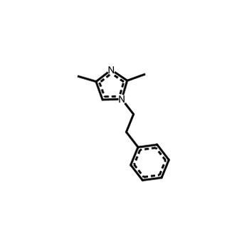 Cc1cn(CCc2ccccc2)c(C)n1